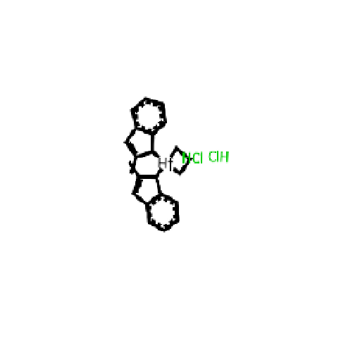 CC1=Cc2ccccc2[CH]1[Hf]1([CH]2C(C)=Cc3ccccc32)[CH2]C[CH2]1.Cl.Cl